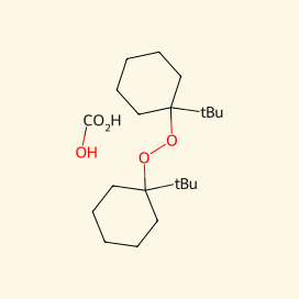 CC(C)(C)C1(OOC2(C(C)(C)C)CCCCC2)CCCCC1.O=C(O)O